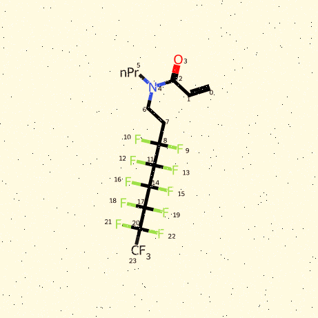 C=CC(=O)N(CCC)CCC(F)(F)C(F)(F)C(F)(F)C(F)(F)C(F)(F)C(F)(F)F